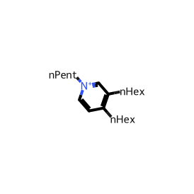 CCCCCCc1cc[n+](CCCCC)cc1CCCCCC